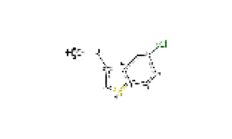 [CH2]Cc1csc2ccc(Cl)cc12